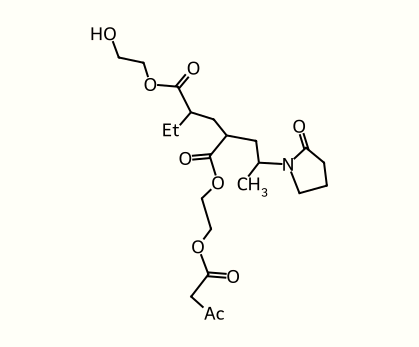 CCC(CC(CC(C)N1CCCC1=O)C(=O)OCCOC(=O)CC(C)=O)C(=O)OCCO